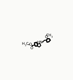 CCOC(=O)c1ccc2c(c1)CCC2NCCc1ccccc1OC